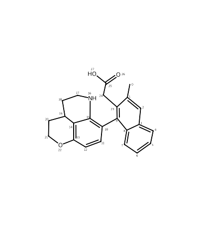 Cc1cc2ccccc2c(-c2ccc3c4c2NCCC4CCO3)c1CC(=O)O